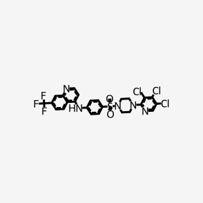 O=S(=O)(c1ccc(Nc2ccnc3cc(C(F)(F)F)ccc23)cc1)N1CCN(c2ncc(Cl)c(Cl)c2Cl)CC1